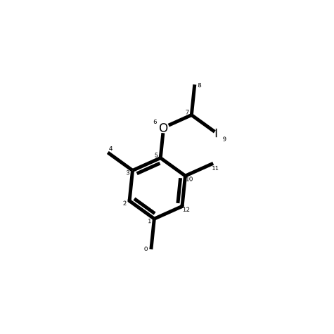 Cc1cc(C)c(OC(C)I)c(C)c1